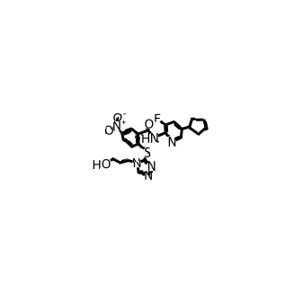 O=C(Nc1ncc(C2CCCC2)cc1F)c1cc([N+](=O)[O-])ccc1Sc1nncn1CCCO